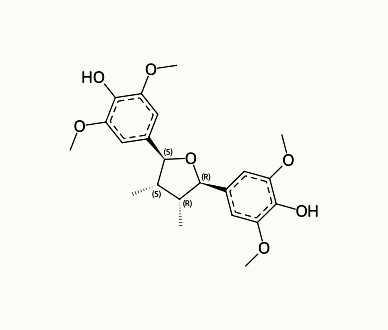 COc1cc([C@H]2O[C@@H](c3cc(OC)c(O)c(OC)c3)[C@H](C)[C@@H]2C)cc(OC)c1O